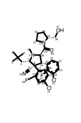 CN1[C@@H](CC(C)(C)C)[C@](C#N)(c2ccc(Cl)cc2F)[C@@H](c2cccc(Cl)c2F)[C@@H]1C(=O)N1CCC[C@@H]1CO